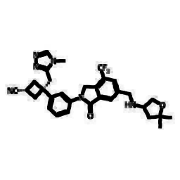 Cn1cnnc1C[C@]1(c2cccc(N3Cc4c(cc(CNC5COC(C)(C)C5)cc4C(F)(F)F)C3=O)c2)C[C@H](C#N)C1